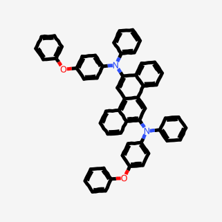 c1ccc(Oc2ccc(N(c3ccccc3)c3cc4c5ccccc5c(N(c5ccccc5)c5ccc(Oc6ccccc6)cc5)cc4c4ccccc34)cc2)cc1